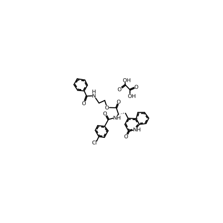 O=C(NCCOC(=O)[C@H](Cc1cc(=O)[nH]c2ccccc12)NC(=O)c1ccc(Cl)cc1)c1ccccc1.O=C(O)C(=O)O